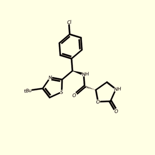 CC(C)(C)c1csc([C@H](NC(=O)[C@@H]2CNC(=O)O2)c2ccc(Cl)cc2)n1